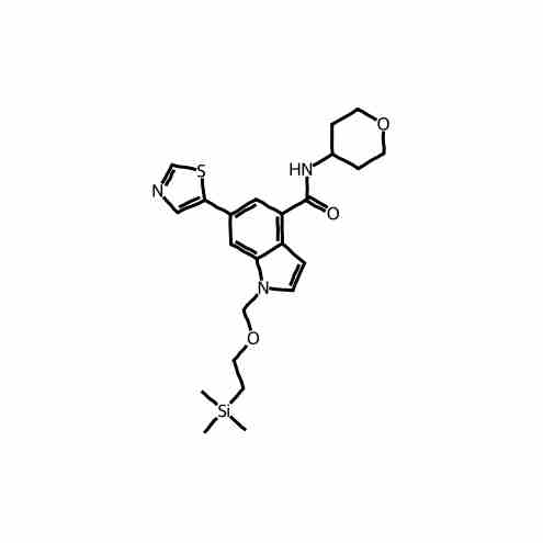 C[Si](C)(C)CCOCn1ccc2c(C(=O)NC3CCOCC3)cc(-c3cncs3)cc21